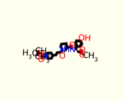 COC(=O)C[C@@H](NC(=O)C1CCCN(C(=O)CCC2CCN(C(=O)OC(C)(C)C)CC2)C1)c1ccc(O)cc1